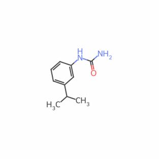 CC(C)c1cccc(NC(N)=O)c1